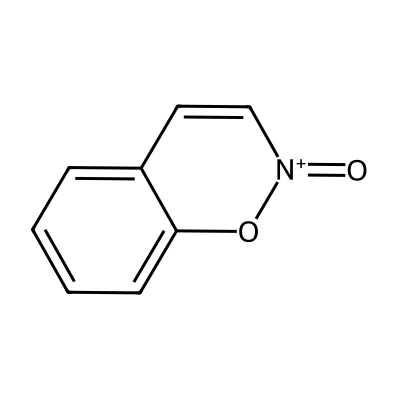 O=[n+]1ccc2ccccc2o1